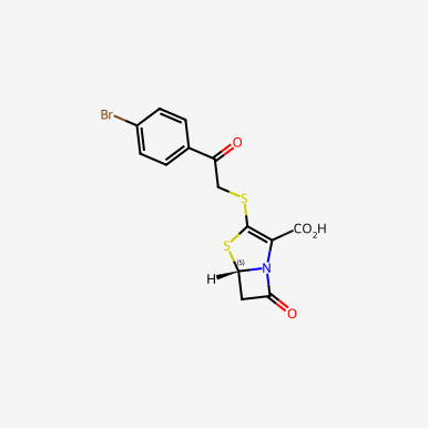 O=C(O)C1=C(SCC(=O)c2ccc(Br)cc2)S[C@H]2CC(=O)N12